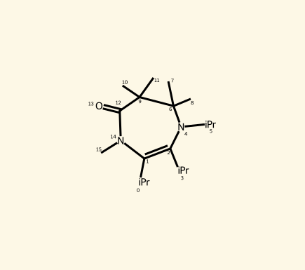 CC(C)C1=C(C(C)C)N(C(C)C)C(C)(C)C(C)(C)C(=O)N1C